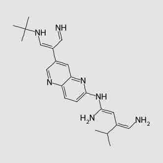 CC(C)C(=C/N)/C=C(\N)Nc1ccc2ncc(/C(C=N)=C/NC(C)(C)C)cc2n1